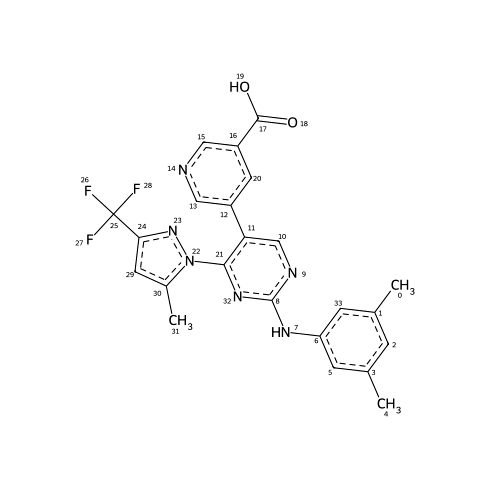 Cc1cc(C)cc(Nc2ncc(-c3cncc(C(=O)O)c3)c(-n3nc(C(F)(F)F)cc3C)n2)c1